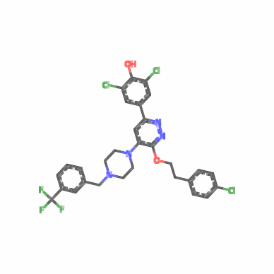 Oc1c(Cl)cc(-c2cc(N3CCN(Cc4cccc(C(F)(F)F)c4)CC3)c(OCCc3ccc(Cl)cc3)nn2)cc1Cl